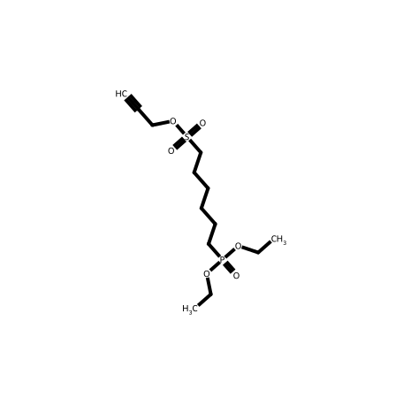 C#CCOS(=O)(=O)CCCCCCP(=O)(OCC)OCC